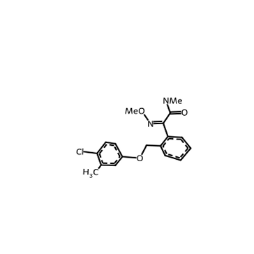 CNC(=O)C(=NOC)c1ccccc1COc1ccc(Cl)c(C)c1